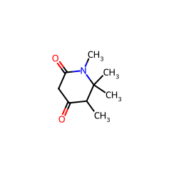 CC1C(=O)CC(=O)N(C)C1(C)C